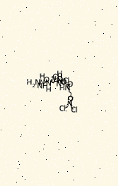 Cl.Cn1cc(NC(=O)CNC(=N)N)cc1-c1nc2cc(C(=O)NCCCc3ccc(N(CCCl)CCCl)cc3)ccc2[nH]1